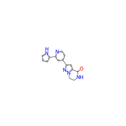 O=C1NCCn2nc(-c3ccnc(-c4ccc[nH]4)c3)cc21